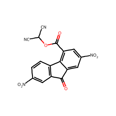 N#CC(C#N)OC(=O)c1cc([N+](=O)[O-])cc2c1-c1ccc([N+](=O)[O-])cc1C2=O